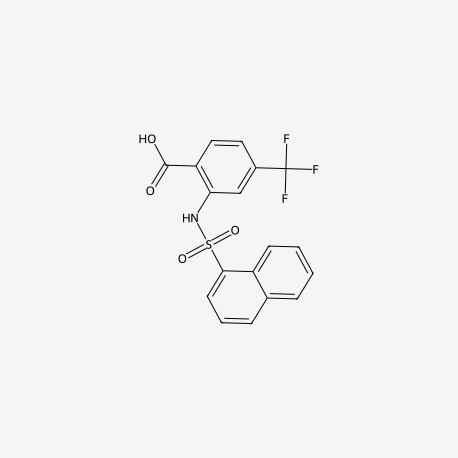 O=C(O)c1ccc(C(F)(F)F)cc1NS(=O)(=O)c1cccc2ccccc12